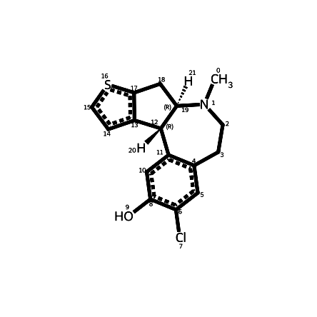 CN1CCc2cc(Cl)c(O)cc2[C@@H]2c3ccsc3C[C@H]21